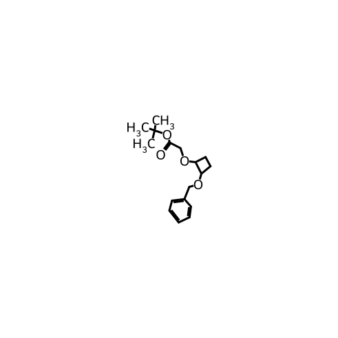 CC(C)(C)OC(=O)COC1CCC1OCc1ccccc1